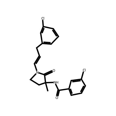 CC1(NC(=O)c2cccc(Cl)c2)CCN(C=CCc2cccc(Cl)c2)C1=O